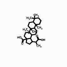 CC(C(=O)O)C1CCC2(C(=O)O)CC[C@]3(C)C(CCC4C5(C)CCCC(C)(C)C5CCC43C)C12